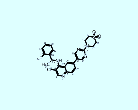 C[C@@H](Nc1c(Cl)cnc2ccc(-c3cnc(N4CCS(=O)(=O)CC4)nc3)cc12)c1ccccc1F